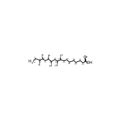 CCC(I)C(I)CC(I)C(I)CC(I)C(I)CCCCCCCC(=O)O